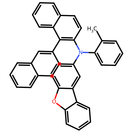 Cc1ccccc1N(c1ccc2oc3ccccc3c2c1)c1ccc2ccccc2c1-c1ccc2ccccc2c1